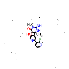 CN1C(=N)N[C@](C)(c2ccnc(-c3cccnc3F)c2)[C@@H](O)C1=O